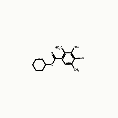 CCCCc1c(C)cc(C(=O)OC2CCCCC2)c(C(=O)O)c1CCCC